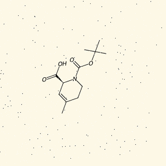 CC1=C[C@@H](C(=O)O)N(C(=O)OC(C)(C)C)CC1